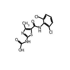 Cc1nc(NC(=O)O)sc1C(=O)Nc1c(Cl)cccc1Cl